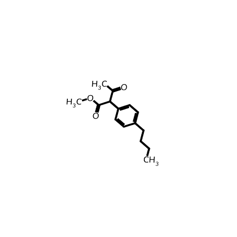 CCCCc1ccc(C(C(C)=O)C(=O)OC)cc1